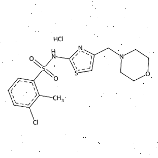 Cc1c(Cl)cccc1S(=O)(=O)Nc1nc(CN2CCOCC2)cs1.Cl